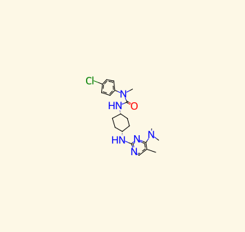 Cc1cnc(N[C@H]2CC[C@@H](NC(=O)N(C)c3ccc(Cl)cc3)CC2)nc1N(C)C